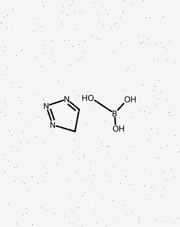 C1=NN=NC1.OB(O)O